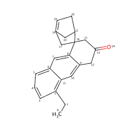 CCc1cccc2cc3c(cc12)CC(=O)CC31CC2=CCC1C2